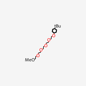 COCCOCCOCCOCCOCCOc1ccc(C(C)(C)C)cc1